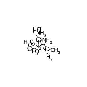 COc1ccccc1C(=O)Nc1c(C)nc(CC(C)C)c(CN)c1-c1ccc(CN)cc1.Cl.Cl